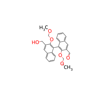 COCOc1c(C=O)cc2ccccc2c1-c1c(OCOC)c(CO)cc2ccccc12